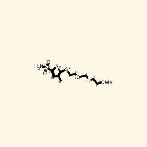 COCCOCOCCSc1sc(S(N)(=O)=O)cc1C